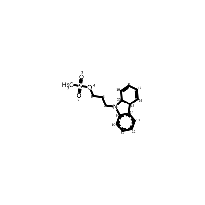 CS(=O)(=O)OCCCN1c2ccccc2C2C=CC=CC21